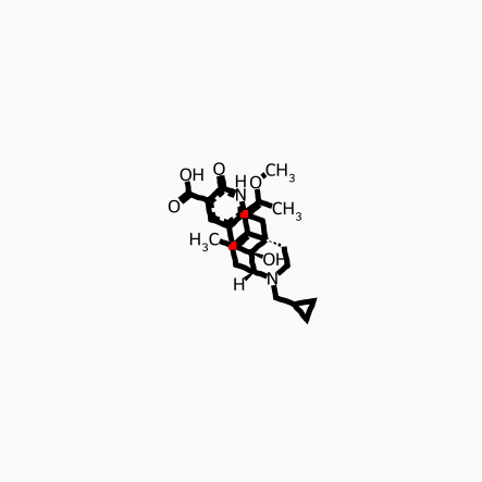 CO/C(C)=C/C1=C(C)C[C@H]2N(CC3CC3)CC[C@@]13Cc1[nH]c(=O)c(C(=O)O)cc1C[C@@]23O